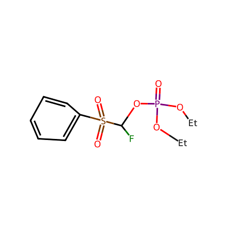 CCOP(=O)(OCC)OC(F)S(=O)(=O)c1ccccc1